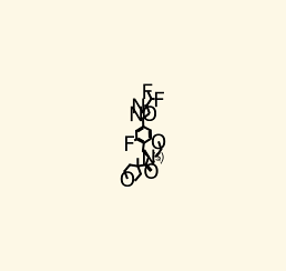 C[C@H]1COc2cc(-c3nnc(C(F)F)o3)cc(F)c2CN1C(=O)C1(C)CCOCC1